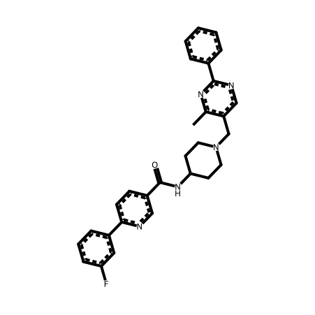 Cc1nc(-c2ccccc2)ncc1CN1CCC(NC(=O)c2ccc(-c3cccc(F)c3)nc2)CC1